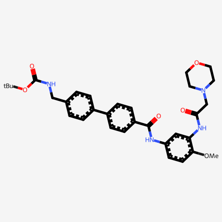 COc1ccc(NC(=O)c2ccc(-c3ccc(CNC(=O)OC(C)(C)C)cc3)cc2)cc1NC(=O)CN1CCOCC1